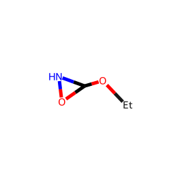 CCOC1NO1